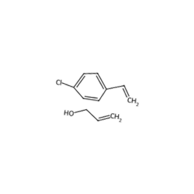 C=CCO.C=Cc1ccc(Cl)cc1